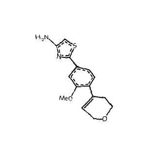 COc1cc(-c2nc(N)cs2)ccc1C1=CCOCC1